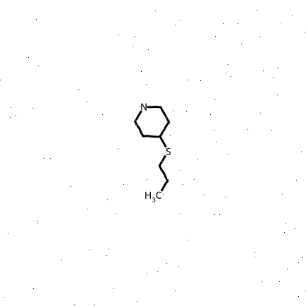 CCCSC1CC[N]CC1